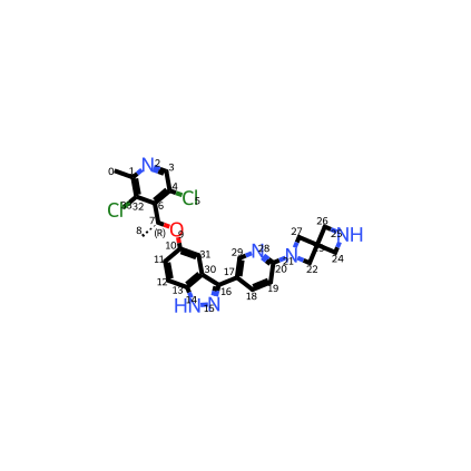 Cc1ncc(Cl)c([C@@H](C)Oc2ccc3[nH]nc(-c4ccc(N5CC6(CNC6)C5)nc4)c3c2)c1Cl